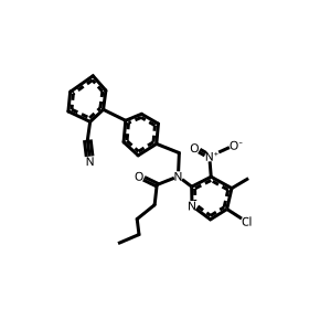 CCCCC(=O)N(Cc1ccc(-c2ccccc2C#N)cc1)c1ncc(Cl)c(C)c1[N+](=O)[O-]